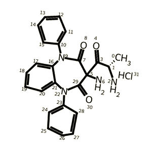 C[C@H](N)C(=O)C1(N)C(=O)N(c2ccccc2)c2ccccc2N(c2ccccc2)C1=O.Cl